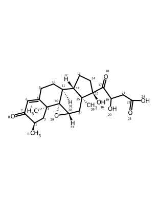 C[C@@H]1C[C@@]2(C)C(=CC1=O)CC[C@H]1[C@@H]3CC[C@](O)(C(=O)C(O)CC(=O)O)[C@@]3(C)C[C@@H]3O[C@@]312